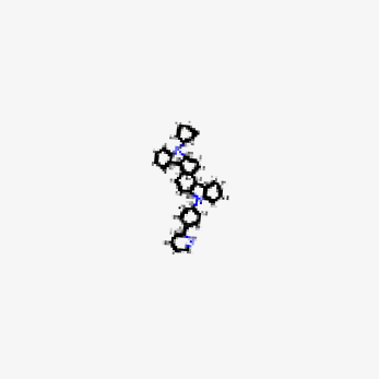 c1ccc(-n2c3ccccc3c3c4ccc5c(c4ccc32)c2ccccc2n5-c2ccc(-c3ccccn3)cc2)cc1